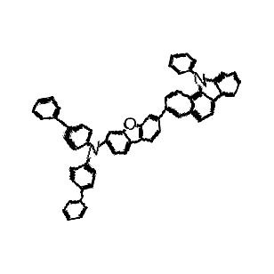 c1ccc(-c2ccc(N(c3ccc(-c4ccccc4)cc3)c3ccc4c(c3)oc3cc(-c5ccc6c(ccc7c8ccccc8n(-c8ccccc8)c67)c5)ccc34)cc2)cc1